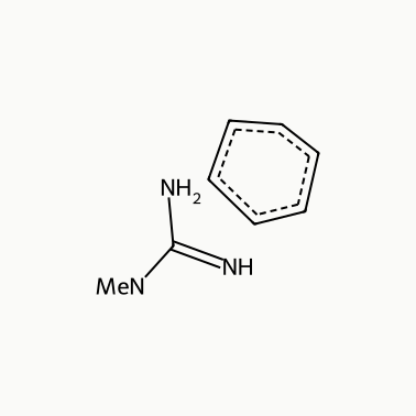 CNC(=N)N.c1ccccc1